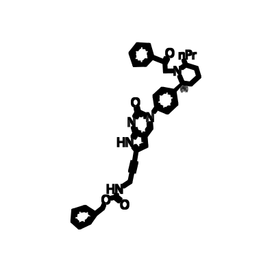 CCCC1CCC[C@@H](c2ccc(-n3cc4cc(C#CCNC(=O)OCc5ccccc5)[nH]c4nc3=O)cc2)N1CC(=O)c1ccccc1